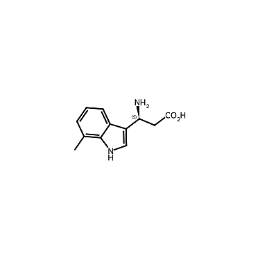 Cc1cccc2c([C@@H](N)CC(=O)O)c[nH]c12